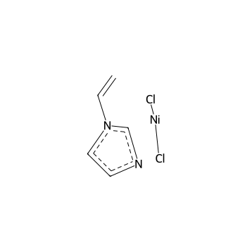 C=Cn1ccnc1.[Cl][Ni][Cl]